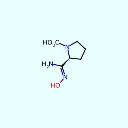 N/C(=N\O)[C@@H]1CCCN1C(=O)O